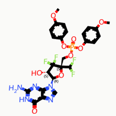 COc1ccc(OP(=O)(OC[C@@]2(C(F)F)O[C@@H](n3cnc4c(=O)[nH]c(N)nc43)[C@H](O)C2(F)F)Oc2ccc(OC)cc2)cc1